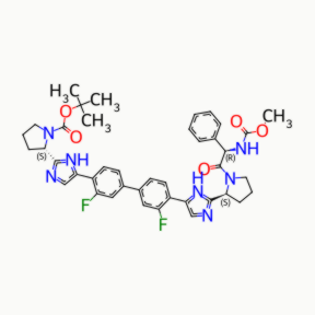 COC(=O)N[C@@H](C(=O)N1CCC[C@H]1c1ncc(-c2ccc(-c3ccc(-c4cnc([C@@H]5CCCN5C(=O)OC(C)(C)C)[nH]4)c(F)c3)cc2F)[nH]1)c1ccccc1